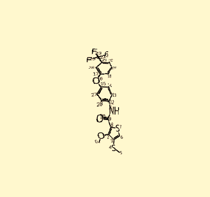 COc1c(SC)csc1C(=O)Nc1ccc(Oc2cccc(C(F)(F)F)c2)cc1